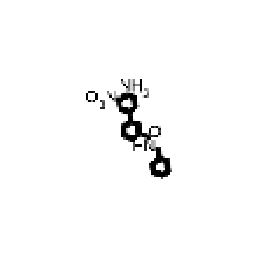 Nc1ccc(-c2cccc(C(=O)NCc3ccccc3)c2)cc1[N+](=O)[O-]